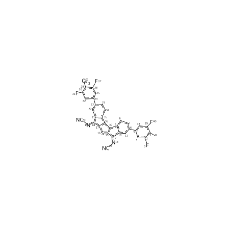 Cc1c(F)cc(-c2ccc3c(c2)/c(=N/C#N)c2sc4/c(=N/C#N)c5cc(-c6cc(F)c(C(F)(F)F)c(F)c6)ccc5c4c23)cc1F